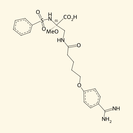 CO[C@](CNC(=O)CCCCOc1ccc(C(=N)N)cc1)(NS(=O)(=O)c1ccccc1)C(=O)O